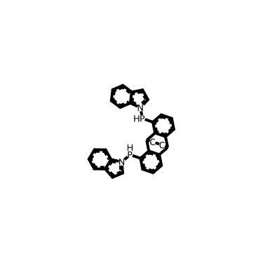 c1cc(Pn2ccc3ccccc32)c2c(c1)C1CCC2c2c(Pn3ccc4ccccc43)cccc21